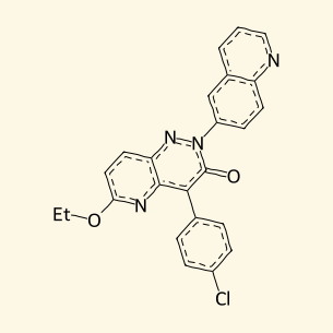 CCOc1ccc2nn(-c3ccc4ncccc4c3)c(=O)c(-c3ccc(Cl)cc3)c2n1